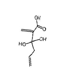 C=CCC(O)(O)C(=C)C(=O)O